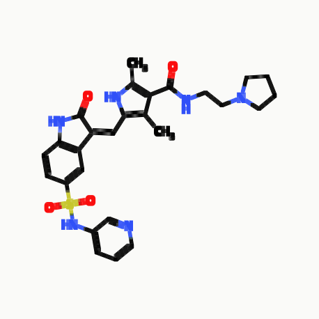 Cc1[nH]c(/C=C2\C(=O)Nc3ccc(S(=O)(=O)Nc4cccnc4)cc32)c(C)c1C(=O)NCCN1CCCC1